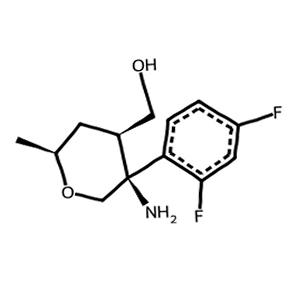 C[C@H]1C[C@@H](CO)[C@](N)(c2ccc(F)cc2F)CO1